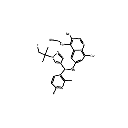 Cc1nc(F)ccc1[C@H](Nc1cc(C#N)c2ncc(C#N)c(NCC(C)(C)C)c2c1)c1cn(C(C)(C)CF)nn1